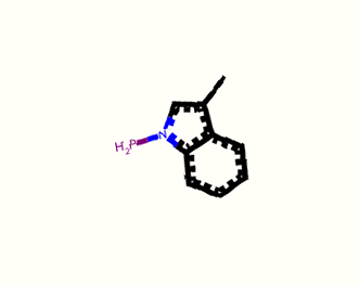 Cc1cn(P)c2ccccc12